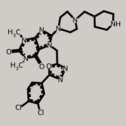 Cn1c(=O)c2c(nc(N3CCN(CC4CCNCC4)CC3)n2Cc2nnc(-c3ccc(Cl)c(Cl)c3)o2)n(C)c1=O